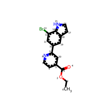 CCOC(=O)c1ccnc(-c2cc(Br)c3[nH]ccc3c2)c1